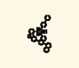 c1ccc(C2=NC(c3cccc4oc5ccc(-c6ccc(-c7cccc8ccccc78)cc6)cc5c34)=NC(c3ccc(-c4ccccc4)cc3)N2)cc1